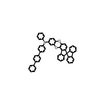 c1ccc(-c2ccc(-c3ccc(N(c4ccccc4)c4ccc5c(c4)Oc4c(ccc6c4-c4ccccc4C64c6ccccc6-c6ccccc64)O5)cc3)cc2)cc1